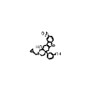 O=[N+]([O-])c1ccc2[nH]c3c(c2c1)CC1(O)CN(CC2CC2)CCC1(c1cccc(O)c1)C3